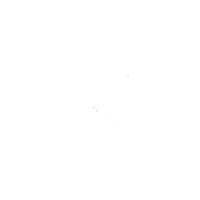 CCn1cc(C)c(I)cc1=O